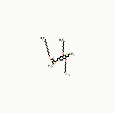 CCCCCCCCCCCCOc1sc2c(C)sc(-c3cc4cc5c(OCCCCCCCC)c6sc(C)cc6c(OCCCCCCCC)c5cc4s3)c2c1F